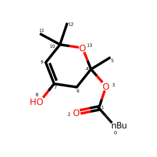 CCCCC(=O)OC1(C)CC(O)=CC(C)(C)O1